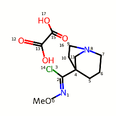 CON=C(Cl)C12CCCN(CC1)C2.O=C(O)C(=O)O